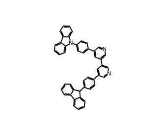 c1ccc2c(c1)-c1ccccc1C2c1ccc(-c2cncc(-c3cncc(-c4ccc(-n5c6ccccc6c6ccccc65)cc4)c3)c2)cc1